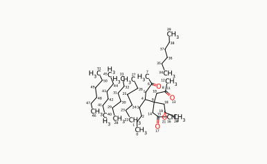 CCCCC(CC(C)=O)C(CC(C)=O)(CC(C)=O)CC(C)=O.CCCCCC.CCCCCC.CCCCCC.CCCCCC.CCCCCC